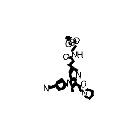 C=CS(=O)(=O)CCNC(=O)CCc1cnc2c(C(=O)CN3CCCCC3)c(C)n(-c3ccc(C#N)cc3)c2c1